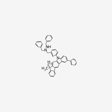 CC1(C)c2ccccc2-c2cc3c4cc(-c5ccccc5)ccc4n(-c4cccc(CN(Cc5ccccc5)NCc5ccccc5)c4)c3cc21